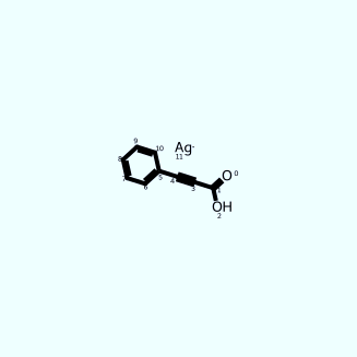 O=C(O)C#Cc1ccccc1.[Ag]